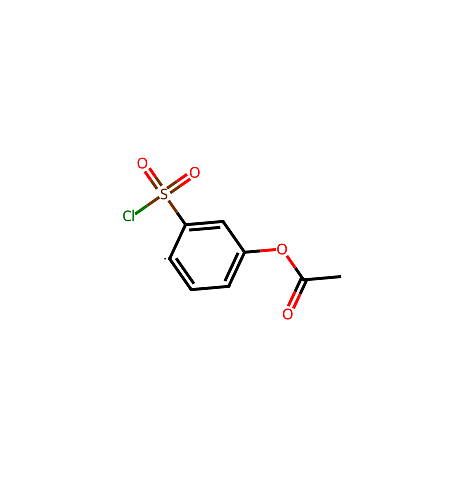 CC(=O)Oc1cc[c]c(S(=O)(=O)Cl)c1